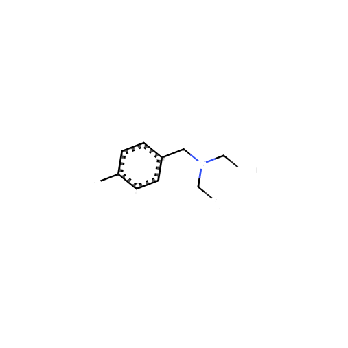 CCOC(=O)CN(CC(C)=O)Cc1ccc(C)cc1